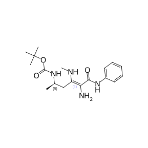 CN/C(C[C@@H](C)NC(=O)OC(C)(C)C)=C(/N)C(=O)Nc1ccccc1